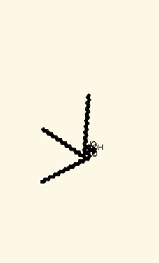 CCCCCCCCCCCCCCCCCCc1cc2c(CCCCCCCCCCCCCCCCCC)c(CCCCCCCCCCCCCCCCCC)ccc2c(C(=O)O)c1I=O